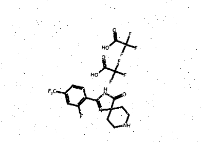 O=C(O)C(F)(F)F.O=C(O)C(F)(F)F.O=C1NC(c2ccc(C(F)(F)F)cc2F)=NC12CCNCC2